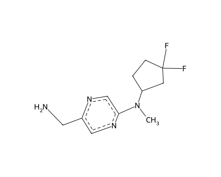 CN(c1cnc(CN)cn1)C1CCC(F)(F)C1